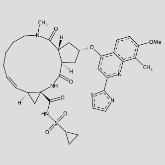 COc1ccc2c(O[C@@H]3C[C@H]4C(=O)N[C@]5(C(=O)NS(=O)(=O)C6CC6)C[C@H]5/C=C\CCCCN(C)C(=O)[C@@H]4C3)cc(-c3nccs3)nc2c1C